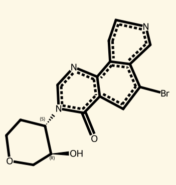 O=c1c2cc(Br)c3cnccc3c2ncn1[C@H]1CCOC[C@@H]1O